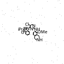 COc1c(Nc2ncc(Cl)c(Nc3ccccc3S(=O)(=O)C(C)C)n2)ccc2c1CCNCC2